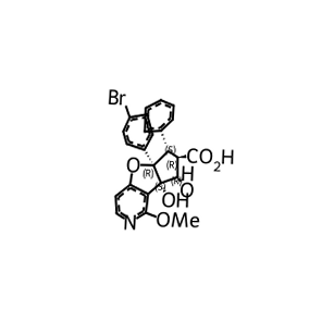 COc1nccc2c1[C@]1(O)[C@H](O)[C@H](C(=O)O)[C@@H](c3ccccc3)[C@]1(c1ccc(Br)cc1)O2